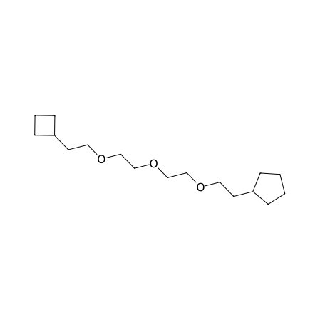 C1CCC(CCOCCOCCOCCC2CCC2)C1